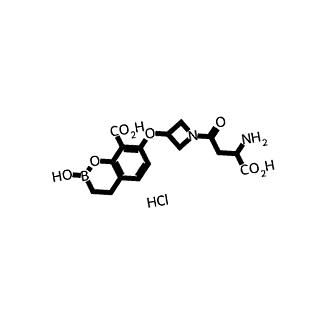 Cl.NC(CC(=O)N1CC(Oc2ccc3c(c2C(=O)O)OB(O)CC3)C1)C(=O)O